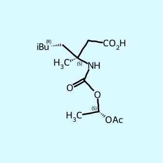 CC[C@@H](C)C[C@@](C)(CC(=O)O)NC(=O)O[C@@H](C)OC(C)=O